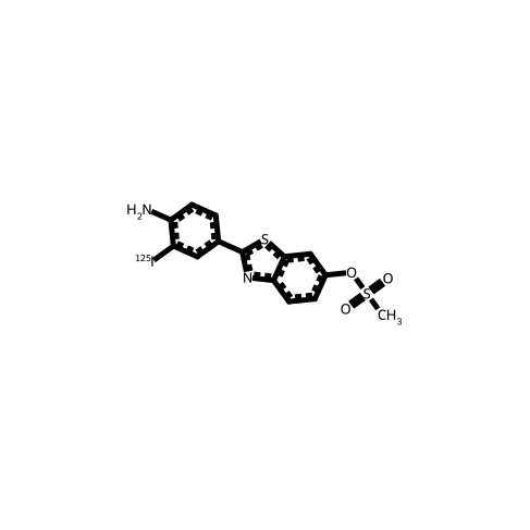 CS(=O)(=O)Oc1ccc2nc(-c3ccc(N)c([125I])c3)sc2c1